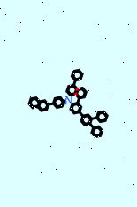 c1ccc(-c2ccc(N(c3ccc(-c4ccc5ccccc5c4)cc3)c3ccc(-c4ccc(-c5ccccc5)c(-c5ccccc5)c4)cc3-c3ccccc3)cc2)cc1